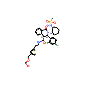 CS(=O)(=O)N[C@H]1CCCC[C@@H]1N1C(=O)c2ccccc2[C@@H](C(=O)NCCc2cc(COCO)cs2)[C@@H]1c1ccc(Cl)cc1Cl